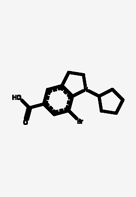 O=C(O)c1cc(Br)c2c(c1)CCN2C1CCCC1